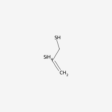 C=CCS.[SiH4]